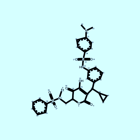 CCN(CC1OC(=O)C(C(c2cccc(NS(=O)(=O)c3ccc(N(C)C)cc3)c2)C2CC2)=C(O)C1=O)S(=O)(=O)c1ccccc1